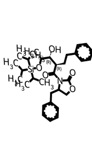 CC(C)[Si](O[C@@H](C)[C@H](O)[C@@H](CCc1ccccc1)C(=O)N1C(=O)OCC1Cc1ccccc1)(C(C)C)C(C)C